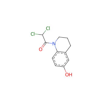 O=C(C(Cl)Cl)N1CCCc2cc(O)ccc21